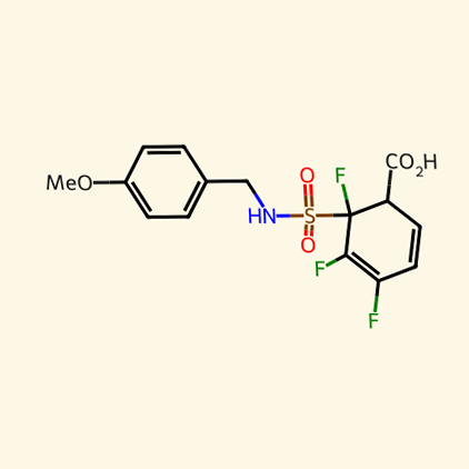 COc1ccc(CNS(=O)(=O)C2(F)C(F)=C(F)C=CC2C(=O)O)cc1